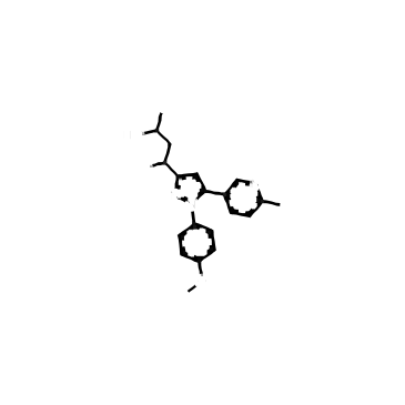 COc1ccc(-n2nc(C(O)CC(C)O)cc2-c2ccc(C)nc2)cc1